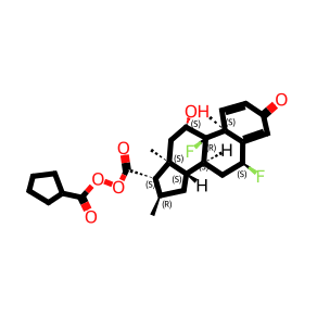 C[C@@H]1C[C@H]2[C@@H]3C[C@H](F)C4=CC(=O)C=C[C@]4(C)[C@@]3(F)[C@@H](O)C[C@]2(C)[C@H]1C(=O)OOC(=O)C1CCCC1